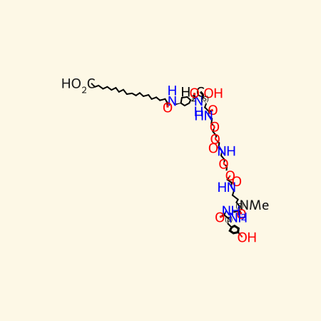 C=C(O)[C@H](CCC(=O)NCCOCCOCC(=O)NCCOCCOCC(=O)NCCCC[C@H](NC)C(=O)CN[C@@H](Cc1ccc(O)cc1)C(N)=O)NC(=O)[C@H]1CC[C@H](CNC(=O)CCCCCCCCCCCCCCCCCCC(=O)O)CC1